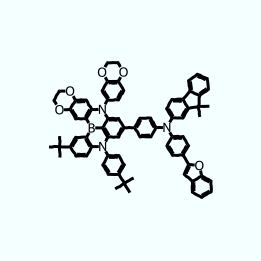 CC(C)(C)c1ccc(N2c3ccc(C(C)(C)C)cc3B3c4cc5c(cc4N(c4ccc6c(c4)OCCO6)c4cc(-c6ccc(N(c7ccc(-c8cc9ccccc9o8)cc7)c7ccc8c(c7)C(C)(C)c7ccccc7-8)cc6)cc2c43)OCCO5)cc1